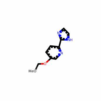 COCOc1ccc(-c2ncc[nH]2)nc1